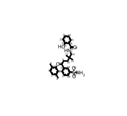 Cc1ccc(C)c(OC(CCC(C)(C)CNC(=O)c2ccccc2O)c2cccc(S(N)(=O)=O)c2)c1